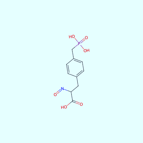 O=NC(Cc1ccc(CP(=O)(O)O)cc1)C(=O)O